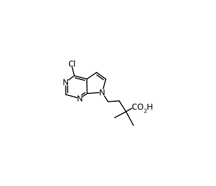 CC(C)(CCn1ccc2c(Cl)ncnc21)C(=O)O